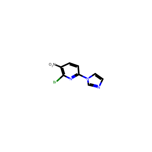 O=[N+]([O-])c1ccc(-n2ccnc2)nc1Br